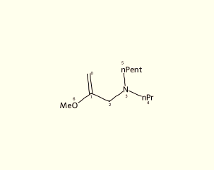 C=C(CN(CCC)CCCCC)OC